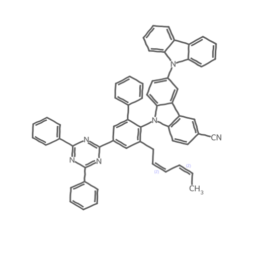 C/C=C\C=C/Cc1cc(-c2nc(-c3ccccc3)nc(-c3ccccc3)n2)cc(-c2ccccc2)c1-n1c2ccc(C#N)cc2c2cc(-n3c4ccccc4c4ccccc43)ccc21